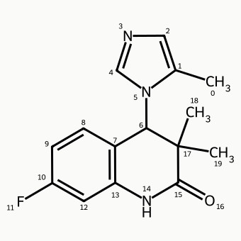 Cc1cncn1C1c2ccc(F)cc2NC(=O)C1(C)C